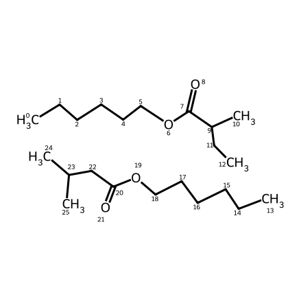 CCCCCCOC(=O)C(C)CC.CCCCCCOC(=O)CC(C)C